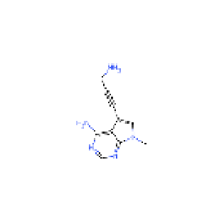 Cn1cc(C#CCN)c2c(N)ncnc21